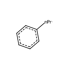 CC[CH]c1ccccc1